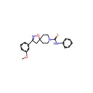 COc1cccc(C2=NOC3(CCN(C(=S)Nc4ccccc4)CC3)C2)c1